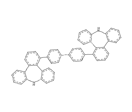 c1ccc2c(c1)Nc1ccccc1-c1c(-c3ccc(-c4ccc(-c5cccc6c5-c5ccccc5Nc5ccccc5-6)cc4)cc3)cccc1-2